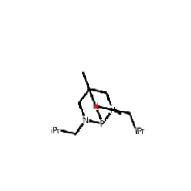 CC(C)CN1CC2(C)CN(C)P1N(CC(C)C)C2